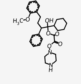 COc1ccccc1CCC(c1ccccc1)C(O)(OC(=O)C(=O)ON1CCNCC1)C1CCCCC1